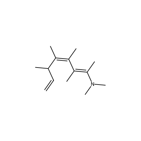 C=CC(C)/C(C)=C(C)\C(C)=C(/C)N(C)C